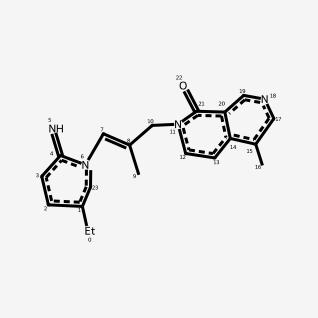 CCc1ccc(=N)n(/C=C(\C)Cn2ccc3c(C)cncc3c2=O)c1